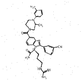 Cc1cccc(N2CCN(C(=O)c3ccc4c(c3)nc(-c3cccc(C#N)c3)n4[C@@H](CCCNC(=N)N)C(N)=O)CC2C)c1